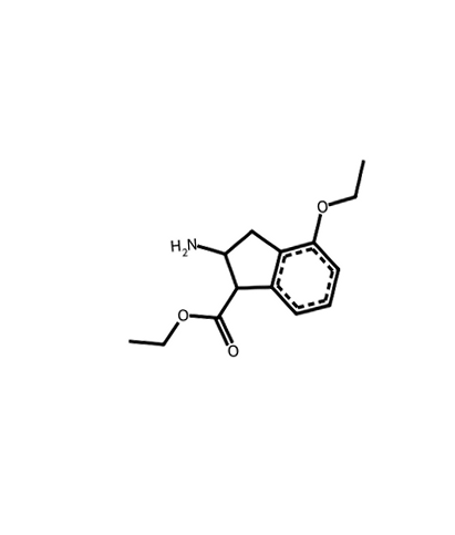 CCOC(=O)C1c2cccc(OCC)c2CC1N